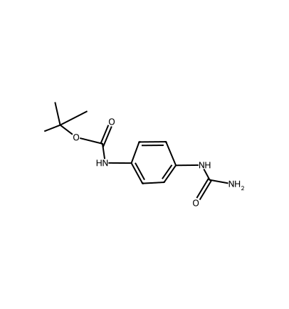 CC(C)(C)OC(=O)Nc1ccc(NC(N)=O)cc1